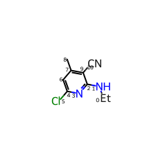 CCNc1nc(Cl)cc(C)c1C#N